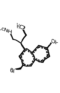 CC(=O)NCC(CO)c1cc(Br)cc2ccc(O)cc12